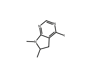 CC1Cc2c(I)ncnc2N1C